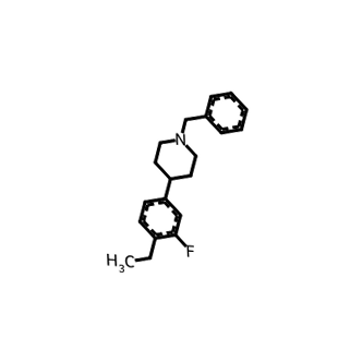 CCc1ccc(C2CCN(Cc3ccccc3)CC2)cc1F